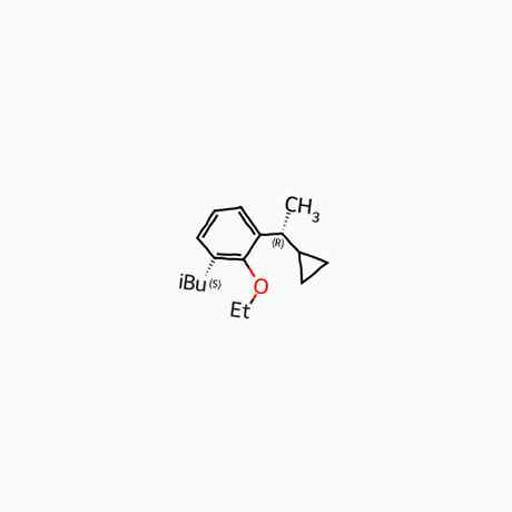 CCOc1c([C@@H](C)CC)cccc1[C@H](C)C1CC1